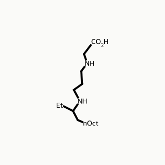 CCCCCCCCCC(CC)NCCCNCC(=O)O